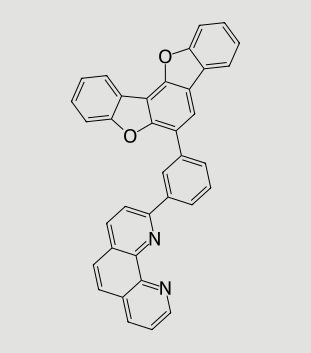 c1cc(-c2ccc3ccc4cccnc4c3n2)cc(-c2cc3c4ccccc4oc3c3c2oc2ccccc23)c1